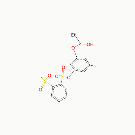 CCC(O)Oc1cc(C)cc(OS(=O)(=O)c2ccccc2S(C)(=O)=O)c1